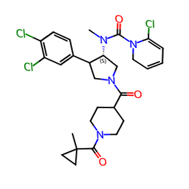 CN(C(=O)N1CC=CC=C1Cl)[C@@H]1CN(C(=O)C2CCN(C(=O)C3(C)CC3)CC2)CC1c1ccc(Cl)c(Cl)c1